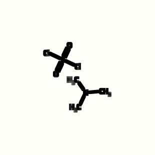 CN(C)C.O=S(=O)(Cl)Cl